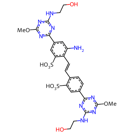 COc1nc(NCCO)nc(-c2ccc(C=Cc3c(N)cc(-c4nc(NCCO)nc(OC)n4)cc3S(=O)(=O)O)c(S(=O)(=O)O)c2)n1